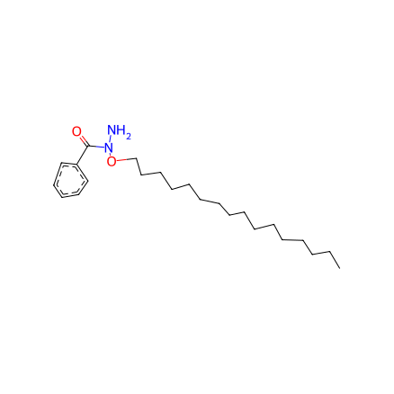 CCCCCCCCCCCCCCCCON(N)C(=O)c1ccccc1